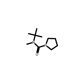 CN(C(=O)N1CCCC1)C(C)(C)C